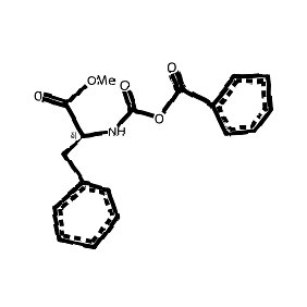 COC(=O)[C@H](Cc1ccccc1)NC(=O)OC(=O)c1ccccc1